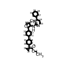 CCOC(=O)C1(c2ccc(-c3ccc(-c4onc(C)c4Nc4nccc(-c5ccccc5)n4)cc3)cc2)CC1